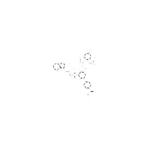 CNC(=O)c1ccc(-c2cc3c(c(S(=O)(=O)N[C@@H](CO)Cc4c[nH]c5ccccc45)c2)OCC3)cc1.O=S(=O)(O)c1cc(Br)cc2c1OCC2